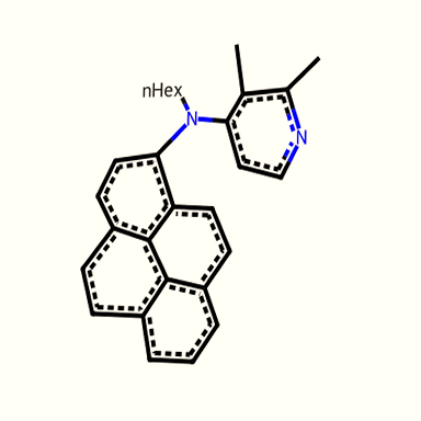 CCCCCCN(c1ccnc(C)c1C)c1ccc2ccc3cccc4ccc1c2c34